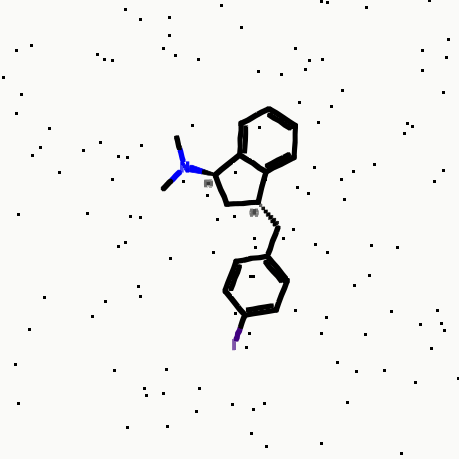 CN(C)[C@@H]1C[C@@H](Cc2ccc(I)cc2)c2ccccc21